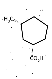 C[C@@H]1CCC[C@H](C(=O)O)C1